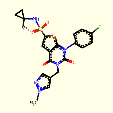 Cn1cc(Cn2c(=O)c3cc(S(=O)(=O)NC4(C)CC4)sc3n(-c3ccc(F)cc3)c2=O)cn1